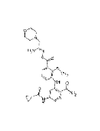 COc1c(Nc2cc(NC(=O)C3CC3)nnc2C(N)=O)cccc1C(=O)O/N=C(\N)CN1CCOCC1